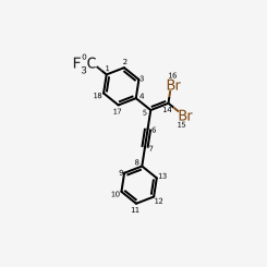 FC(F)(F)c1ccc(C(C#Cc2ccccc2)=C(Br)Br)cc1